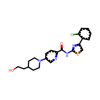 O=C(Nc1nc(-c2ccccc2Cl)cs1)c1ccc(N2CCC(CCO)CC2)cn1